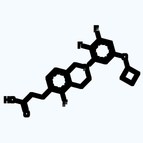 O=C(O)CCc1ccc2c(c1F)CCN(c1cc(OC3CCC3)cc(F)c1F)C2